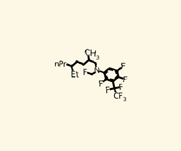 CCCC(CC)CCC(C)CN(CF)c1cc(F)c(F)c(C(F)(F)C(F)(F)F)c1F